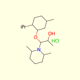 CC1CCC(C(C)C)C(OC(C(C)O)N2C(C)CCCC2C)C1.Cl